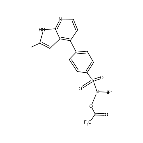 Cc1cc2c(-c3ccc(S(=O)(=O)N(OC(=O)C(F)(F)F)C(C)C)cc3)ccnc2[nH]1